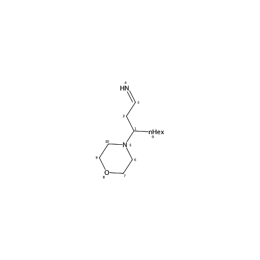 CCCCCCC(CC=N)N1CCOCC1